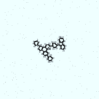 c1ccc(-c2ccc3c(c2)c2ccc(-c4ccc(-n5c6ccccc6c6ccccc65)cc4)nc2c2cc(-c4ccccc4)ccc32)cc1